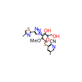 CO[C@@H]1[C@@H](n2cc(-c3nc(C)cs3)nn2)[C@@H](O)[C@@H](CO)O[C@@H]1Sc1cc(C)cnc1C#N